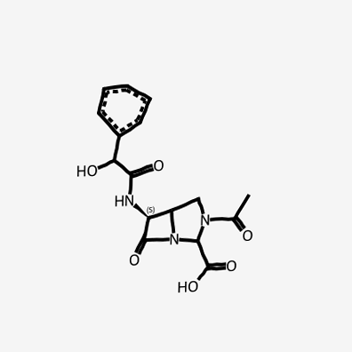 CC(=O)N1CC2[C@H](NC(=O)C(O)c3ccccc3)C(=O)N2C1C(=O)O